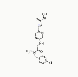 CN(Cc1ccc(Cl)cc1)C(=O)CNc1cnc(/C=C/C(=O)NO)cn1